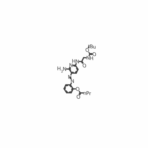 CCCC(=O)Oc1ccccc1N=Nc1ccc(NC(=O)CNC(=O)OC(C)(C)C)nc1N